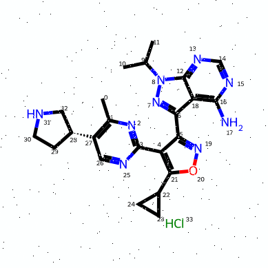 Cc1nc(-c2c(-c3nn(C(C)C)c4ncnc(N)c34)noc2C2CC2)ncc1[C@@H]1CCNC1.Cl